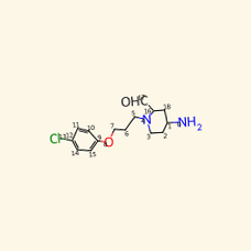 NC1CCN(CCCOc2ccc(Cl)cc2)C(C=O)C1